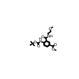 COCCNC(=O)c1cc(C(=O)OC)ccc1NC(=O)OC(C)(C)C